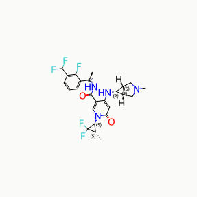 C[C@@H](NC(=O)c1cn([C@H]2[C@H](C)C2(F)F)c(=O)cc1N[C@@H]1[C@@H]2CN(C)C[C@@H]21)c1cccc(C(F)F)c1F